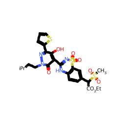 CCOC(=O)C(c1ccc2c(c1)S(=O)(=O)N=C(c1c(O)c(-c3cccs3)nn(CCC(C)C)c1=O)N2)S(C)(=O)=O